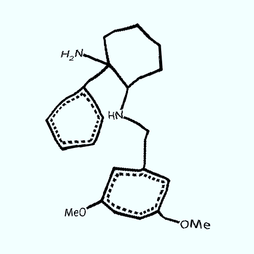 COc1cc(CNC2CCCCC2(N)c2ccccc2)cc(OC)c1